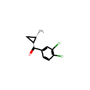 C[C@H]1C[C@H]1C(=O)c1ccc(Cl)c(Cl)c1